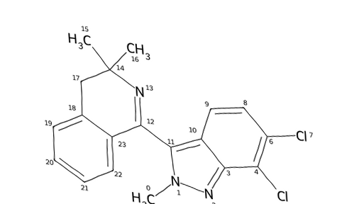 Cn1nc2c(Cl)c(Cl)ccc2c1C1=NC(C)(C)Cc2ccccc21